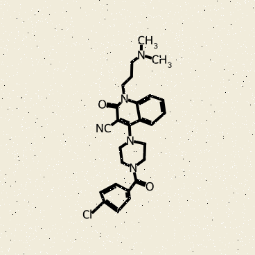 CN(C)CCCn1c(=O)c(C#N)c(N2CCN(C(=O)c3ccc(Cl)cc3)CC2)c2ccccc21